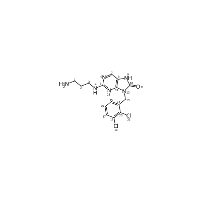 NCCCNc1ncc2[nH]c(=O)n(Cc3cccc(Cl)c3Cl)c2n1